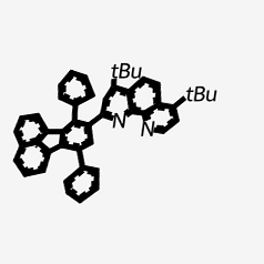 CC(C)(C)c1ccnc2c1ccc1c(C(C)(C)C)cc(-c3cc(-c4ccccc4)c4c(c3-c3ccccc3)-c3cccc5cccc-4c35)nc12